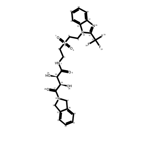 O=C(NCCS(=O)(=O)CCn1c(C(F)(F)F)nc2ccccc21)[C@H](O)[C@@H](O)C(=O)N1Cc2ccccc2C1